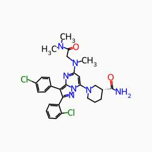 CN(C)C(=O)CN(C)c1cc(N2CCC[C@@H](C(N)=O)C2)n2nc(-c3ccccc3Cl)c(-c3ccc(Cl)cc3)c2n1